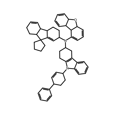 C1=CC2OC3C=CC=C(N(C4C=C5C(CC4)C4C=CCCC4C54CCCC4)C4CCc5c(c6ccccc6n5C5C=CC(c6ccccc6)CC5)C4)C3C2C=C1